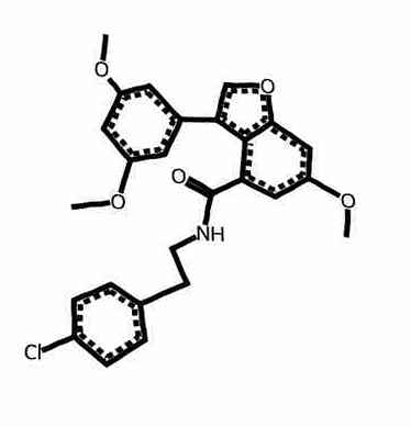 COc1cc(OC)cc(-c2coc3cc(OC)cc(C(=O)NCCc4ccc(Cl)cc4)c23)c1